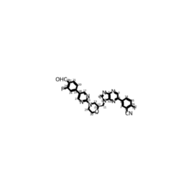 N#Cc1cc(-c2cnc3nnn(C[C@@H]4CN(c5ncc(-c6ccc(C=O)c(F)c6)cn5)CCO4)c3n2)ccc1F